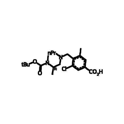 CCCN(Cc1c(C)cc(C(=O)O)cc1Cl)C[C@@H](C)N(C)C(=O)OC(C)(C)C